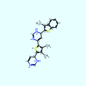 Cc1c(C2=CC(c3sc4ccccc4c3C)NC=N2)sc(C2C=CN=CN2)c1C